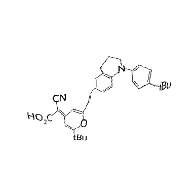 CCC(C)c1ccc(N2CCCc3cc(/C=C/C4=CC(=C(\C#N)C(=O)O)/C=C(C(C)(C)C)O4)ccc32)cc1